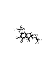 CCCC1(CC=C(C)Cl)Cc2cc(OS(=O)(=O)C(F)(F)F)c(Cl)c(Cl)c2C1=O